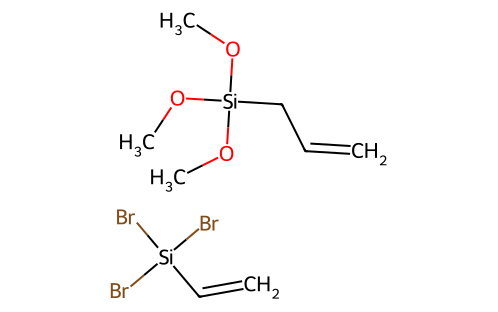 C=CC[Si](OC)(OC)OC.C=C[Si](Br)(Br)Br